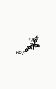 CC[C@@H]1CCCN1Cc1sc(NC(=O)c2cnc(N3CCC(C(=O)O)CC3)cn2)nc1-c1ccc(OC(F)F)c(C(F)(F)F)c1